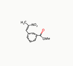 COC(=O)c1cccc(/C=C(/C)[N+](=O)[O-])c1